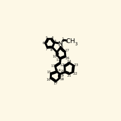 CCn1c2ccccc2c2cc(C=Cc3ccccc3-c3ccccc3)ccc21